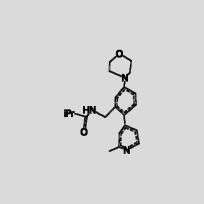 Cc1cc(-c2ccc(N3CCOCC3)cc2CNC(=O)C(C)C)ccn1